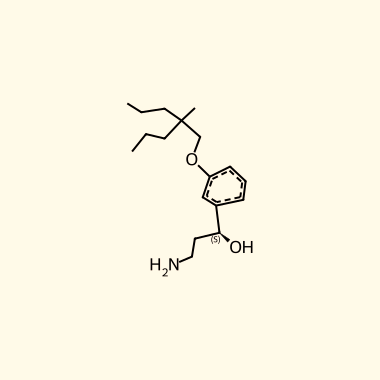 CCCC(C)(CCC)COc1cccc([C@@H](O)CCN)c1